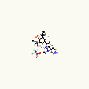 CN(C)C1(c2nc(-c3cc(C(C)(C)C)c(O)c(C(C)(C)C)c3)cs2)CCNCC1.O=C(O)C(F)(F)F